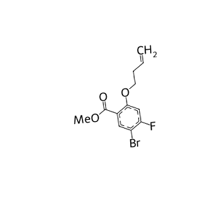 C=CCCOc1cc(F)c(Br)cc1C(=O)OC